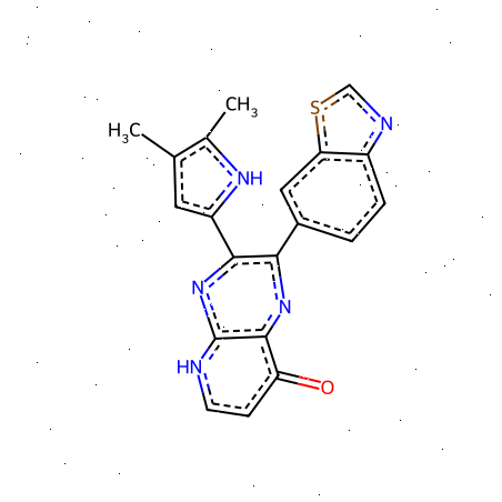 Cc1cc(-c2nc3[nH]ccc(=O)c3nc2-c2ccc3ncsc3c2)[nH]c1C